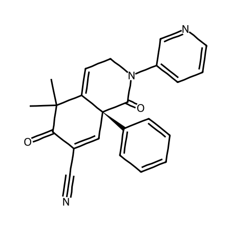 CC1(C)C(=O)C(C#N)=C[C@@]2(c3ccccc3)C(=O)N(c3cccnc3)CC=C12